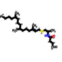 C/C(=C\CSCC(C)NC(=O)CCC=O)CCCC(C)CCCC(C)CCCC(C)C